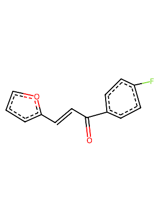 O=C(C=Cc1ccco1)c1ccc(F)cc1